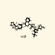 CN1CCC[C@@]1(C)c1nnc2ccc(O[C@@H]3CC[C@H](NC(=O)Nc4cc(C(C)(C)C)nn4-c4cnn(C)c4)c4ccccc43)cn12.Cl